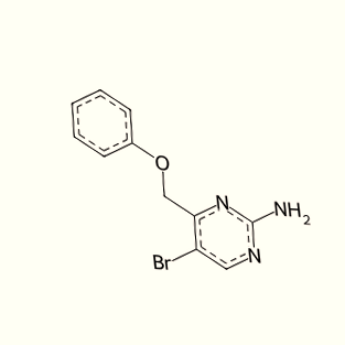 Nc1ncc(Br)c(COc2ccccc2)n1